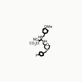 CCOC(=O)C(C#N)=C(NCc1ccc(OC)cc1)NCC1CN(Cc2ccc(F)cc2)CCO1